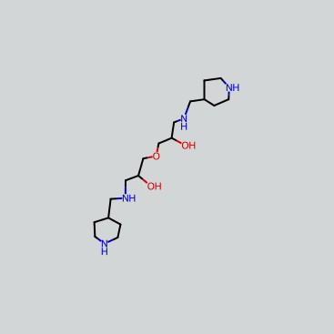 OC(CNCC1CCNCC1)COCC(O)CNCC1CCNCC1